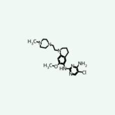 COc1cc2c(cc1Nc1ncc(Cl)c(N)n1)CCCN2CCN1CCN(C)CC1